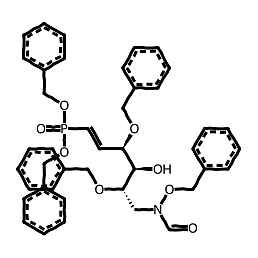 O=CN(C[C@H](OCc1ccccc1)[C@H](O)[C@@H](/C=C/P(=O)(OCc1ccccc1)OCc1ccccc1)OCc1ccccc1)OCc1ccccc1